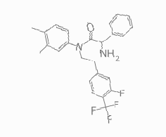 Cc1ccc(N(CCc2ccc(C(F)(F)F)c(F)c2)C(=O)C(N)c2ccccc2)cc1C